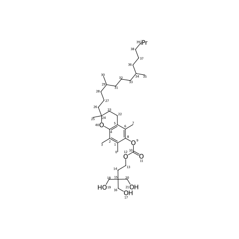 Cc1c(C)c2c(c(C)c1OC(=O)OCCC(CO)(CO)CO)CCC(C)(CCCC(C)CCCC(C)CCCC(C)C)O2